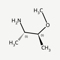 CO[C@@H](C)[C@H](C)N